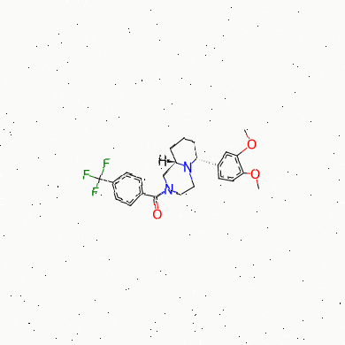 COc1ccc([C@H]2CCC[C@H]3CN(C(=O)c4ccc(C(F)(F)F)cc4)CCN32)cc1OC